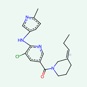 CC/C=C1/CCCN(C(=O)c2cnc(Nc3ccc(C)nc3)c(Cl)c2)C1